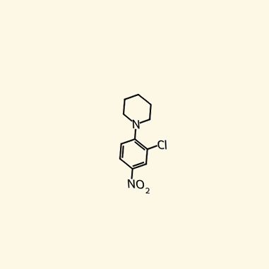 O=[N+]([O-])c1ccc(N2CCCCC2)c(Cl)c1